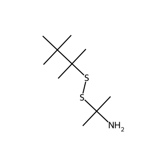 CC(C)(N)SSC(C)(C)C(C)(C)C